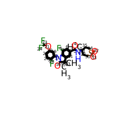 CC1(NC(=O)c2cc(F)c3c(c2)C(C)(C)C(=O)N3c2cc(OC(F)F)ccc2F)CCS(=O)(=O)CC1